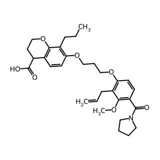 C=CCc1c(OCCCOc2ccc3c(c2CCC)OCCC3C(=O)O)ccc(C(=O)N2CCCC2)c1OC